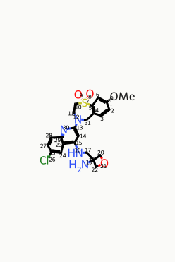 COc1ccc2c(c1)S(=O)(=O)CCN(c1cc(NCC3(N)COC3)c3cc(Cl)ccc3n1)C2